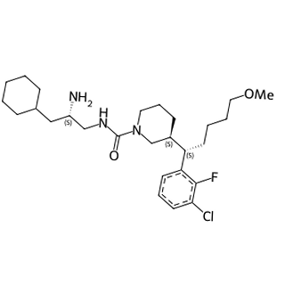 COCCCC[C@H](c1cccc(Cl)c1F)[C@@H]1CCCN(C(=O)NC[C@@H](N)CC2CCCCC2)C1